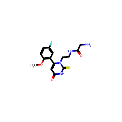 COc1ccc(F)cc1-c1cc(=O)[nH]c(=S)n1CCNC(=O)CN